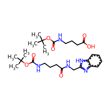 CC(C)(C)OC(=O)NCCCC(=O)NCc1nc2ccccc2[nH]1.CC(C)(C)OC(=O)NCCCC(=O)O